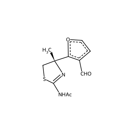 CC(=O)NC1=N[C@@](C)(c2occc2C=O)CS1